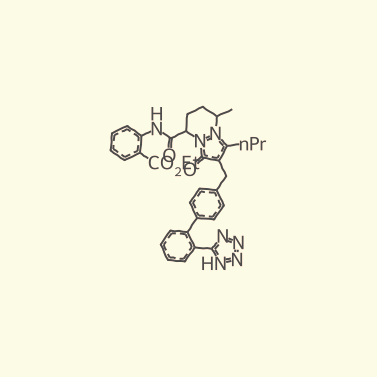 CCCc1c(Cc2ccc(-c3ccccc3-c3nnn[nH]3)cc2)c(=O)n2n1C(C)CCC2C(=O)Nc1ccccc1C(=O)OCC